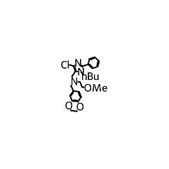 CCCCn1c(-c2ccccc2)nc(Cl)c1CN(CCOC)Cc1ccc2c(c1)OCCO2